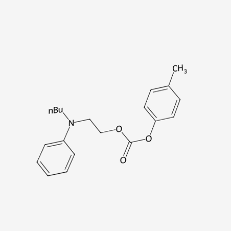 CCCCN(CCOC(=O)Oc1ccc(C)cc1)c1ccccc1